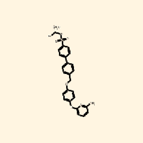 Cc1cccc(Oc2ccc(OCc3ccc(-c4ccc(S(=O)(=O)N[C@@H](C(=O)O)C(C)C)cc4)cc3)cc2)n1